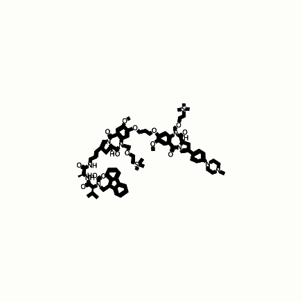 COc1cc2c(cc1OCCCOc1cc3c(cc1OC)C(=O)N1C=C(c4ccc(N5CCN(C)CC5)cc4)C[C@H]1C(=O)N3COCC[Si](C)(C)C)N(COCC[Si](C)(C)C)C(=O)[C@@H]1CC(/C=C/CNC(=O)[C@H](C)NC(=O)[C@H](C(C)C)N(CC3c4ccccc4-c4ccccc43)C(=O)O)=CN1C2=O